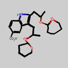 CC(Cc1[nH]c2ccc(C(=O)O)cc2c1CC(C)OC1CCCCO1)OC1CCCCO1